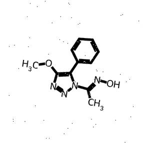 COc1nnn(C(C)=NO)c1-c1ccccc1